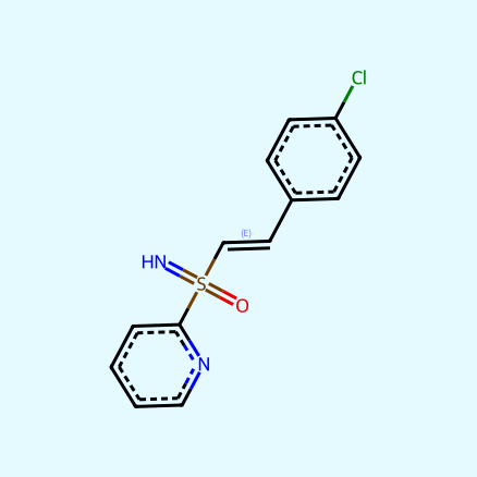 N=S(=O)(/C=C/c1ccc(Cl)cc1)c1ccccn1